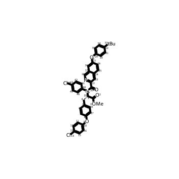 COC(=O)[C@H](Cc1ccc(Oc2ccc(Cl)cc2)cc1)N(C(=O)c1cc2ccc(Oc3ccc(C(C)(C)C)cc3)cc2cn1)c1ccc(Cl)cc1